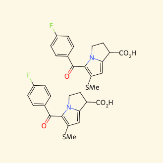 CSc1cc2n(c1C(=O)c1ccc(F)cc1)CCC2C(=O)O.CSc1cc2n(c1C(=O)c1ccc(F)cc1)CCC2C(=O)O